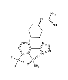 N=C(N)N[C@H]1CC[C@H](c2ccc(C(F)(F)F)c(S(N)(=O)=O)c2-c2nnn[nH]2)CC1